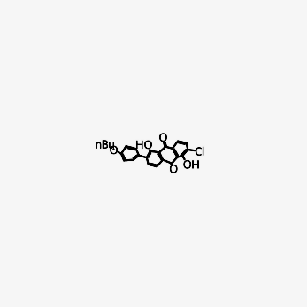 CCCCOc1ccc(-c2ccc3c(c2O)C(=O)c2ccc(Cl)c(O)c2C3=O)cc1